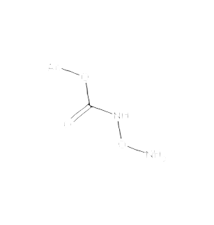 CC(=O)OC(=O)NON